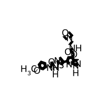 COc1cccc(NC(=O)Nc2ncc(-c3cc(OC(=O)NCCN4CCOCC4)c4cn[nH]c4n3)s2)c1